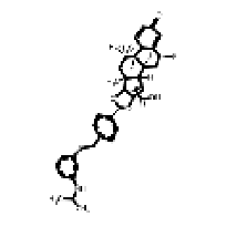 CC(C)Nc1cccc(SCc2ccc([C@@H]3O[C@@H]4C[C@H]5[C@@H]6C[C@H](F)C7=CC(=O)C=C[C@]7(C)[C@@]6(F)[C@@H](O)C[C@]5(C)[C@]4(C(=O)CO)O3)cc2)c1